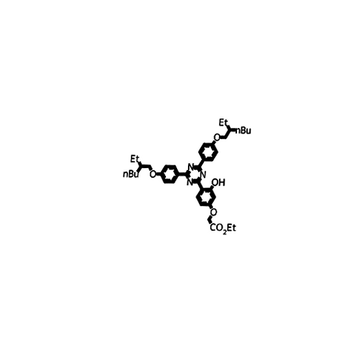 CCCCC(CC)COc1ccc(-c2nc(-c3ccc(OCC(CC)CCCC)cc3)nc(-c3ccc(OCC(=O)OCC)cc3O)n2)cc1